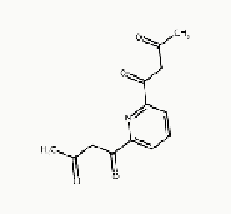 CC(=O)CC(=O)c1cccc(C(=O)CC(C)=O)n1